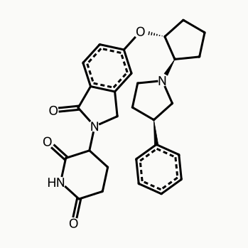 O=C1CCC(N2Cc3cc(O[C@@H]4CCC[C@H]4N4CC[C@H](c5ccccc5)C4)ccc3C2=O)C(=O)N1